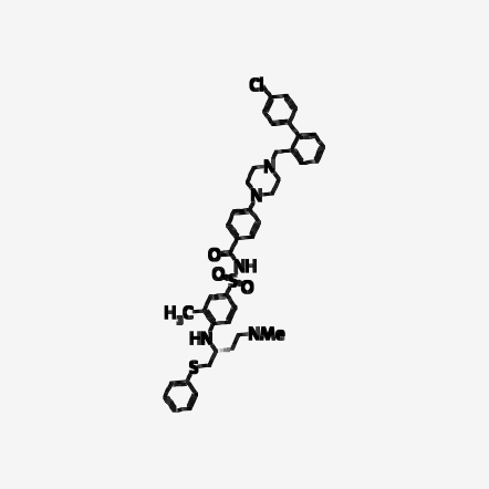 CNCC[C@H](CSc1ccccc1)Nc1ccc(S(=O)(=O)NC(=O)c2ccc(N3CCN(Cc4ccccc4-c4ccc(Cl)cc4)CC3)cc2)cc1C